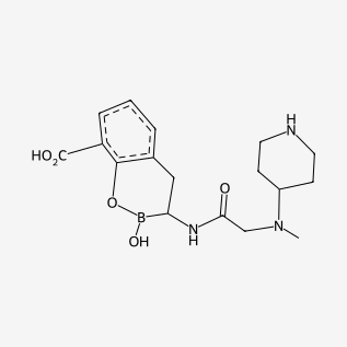 CN(CC(=O)NC1Cc2cccc(C(=O)O)c2OB1O)C1CCNCC1